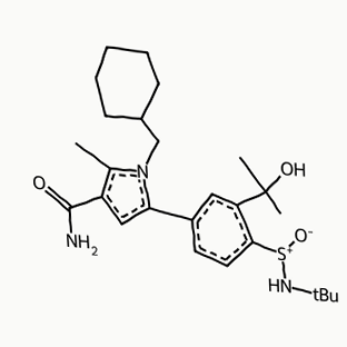 Cc1c(C(N)=O)cc(-c2ccc([S+]([O-])NC(C)(C)C)c(C(C)(C)O)c2)n1CC1CCCCC1